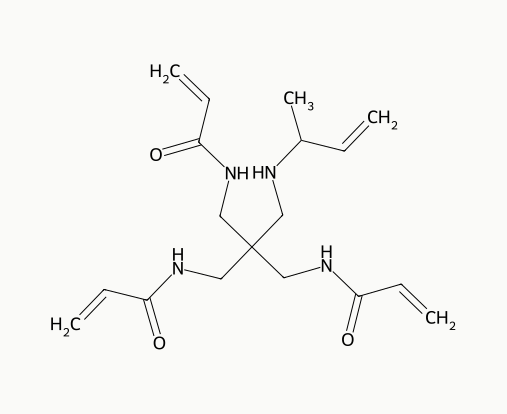 C=CC(=O)NCC(CNC(=O)C=C)(CNC(=O)C=C)CNC(C)C=C